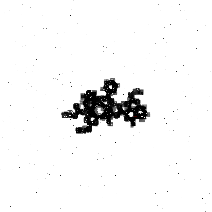 CCOC(C)O[C@@H](C(=O)O[C@H]1C[C@@]2(O)[C@@H](OC(=O)c3ccccc3)[C@@H]3[C@]4(OC(C)=O)CO[C@@H]4C[C@H](OC(=O)OC(C)(C)C)[C@@]3(C)C(=O)[C@H](OC(=O)OC(C)(C)C)C(=C1C)C2(C)C)[C@@H](NC(=O)OC(C)(C)C)c1ccccc1